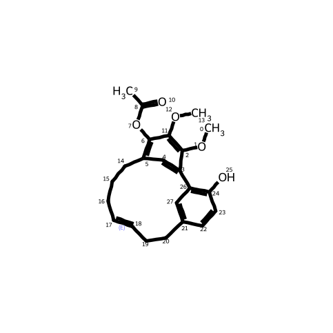 COc1c2cc(c(OC(C)=O)c1OC)CCC/C=C/CCc1ccc(O)c-2c1